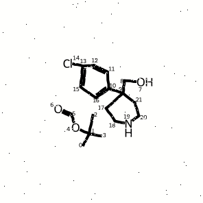 CC(C)(C)OC=O.OCC1(c2ccc(Cl)cc2)CCNCC1